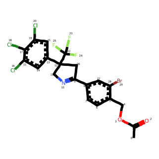 CC(=O)OCc1ccc(C2=NCC(c3cc(Cl)c(Cl)c(Cl)c3)(C(F)(F)F)C2)cc1Br